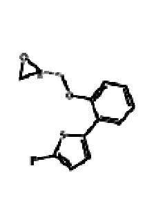 Fc1ccc(-c2ccccc2OC[C@@H]2CO2)s1